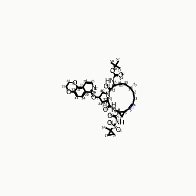 C[C@@H]1CC/C=C\C2C[C@@]2(C(=O)NS(=O)(=O)C2(C)CC2)NC(=O)[C@@H]2CC(Oc3nccc4c5c(ccc34)OCCO5)CN2C(=O)[C@@H](NC(=O)OC(C)(C)C)[C@H](C)C1